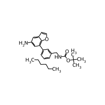 CC(C)(C)OC(=O)NCc1cccc(-c2cc(N)cc3ccoc23)c1.CCCCCC